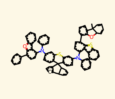 CC12C=CC=CC1Oc1c(-c3ccc(N(c4ccccc4)c4ccc5c(c4)Sc4cc(N(c6ccccc6)c6ccc(-c7ccccc7)c7oc8ccccc8c67)ccc4C54c5ccccc5C5C=CC=CC54)c4c3sc3ccccc34)cccc12